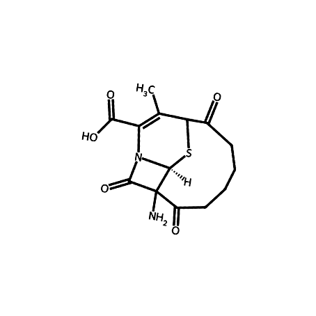 CC1=C(C(=O)O)N2C(=O)C3(N)C(=O)CCCCC(=O)C1S[C@H]23